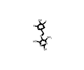 Nc1nc(S)nc(O)c1/N=C/c1cc(F)c(O)c(F)c1